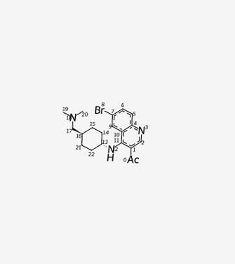 CC(=O)c1cnc2ccc(Br)cc2c1N[C@H]1CC[C@H](CN(C)C)CC1